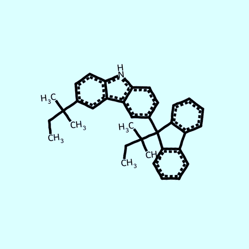 CCC(C)(C)c1ccc2[nH]c3ccc(C4(C(C)(C)CC)c5ccccc5-c5ccccc54)cc3c2c1